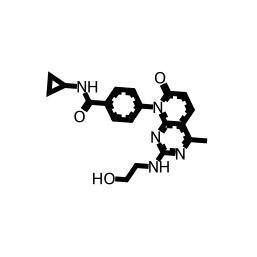 Cc1nc(NCCO)nc2c1ccc(=O)n2-c1ccc(C(=O)NC2CC2)cc1